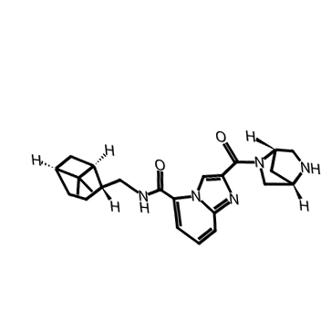 CC1(C)[C@H]2CC[C@@H](CNC(=O)c3cccc4nc(C(=O)N5C[C@@H]6C[C@H]5CN6)cn34)[C@@H]1C2